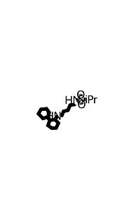 CC(C)S(=O)(=O)NCCCCCNC1CCCCC1C1CCCCC1